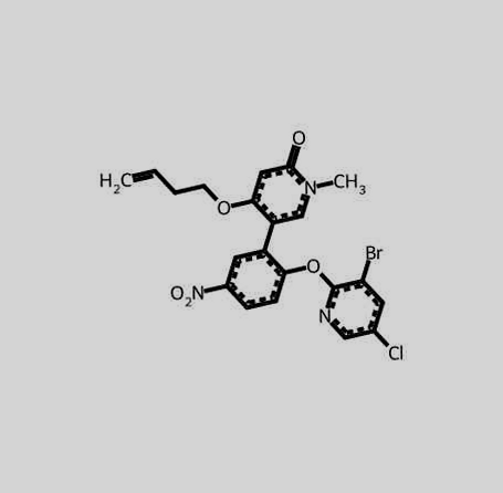 C=CCCOc1cc(=O)n(C)cc1-c1cc([N+](=O)[O-])ccc1Oc1ncc(Cl)cc1Br